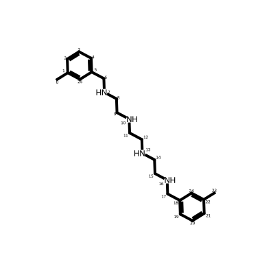 Cc1cccc(CNCCNCCNCCNCc2cccc(C)c2)c1